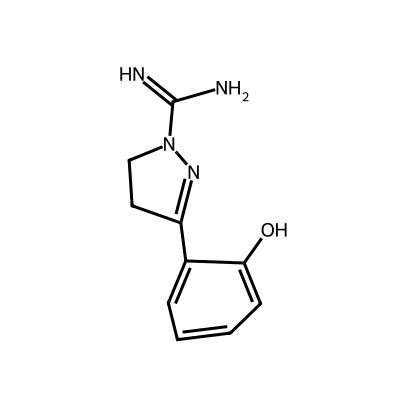 N=C(N)N1CCC(c2ccccc2O)=N1